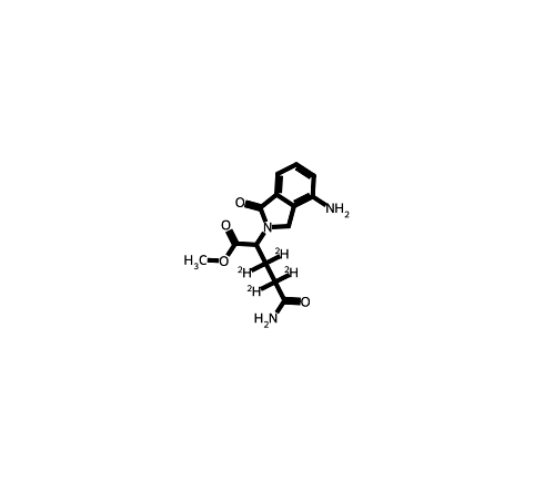 [2H]C([2H])(C(N)=O)C([2H])([2H])C(C(=O)OC)N1Cc2c(N)cccc2C1=O